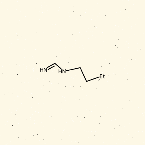 [CH2]CCCNC=N